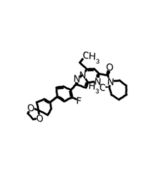 CCc1cc(C(=O)N2CCCCC[C@H]2C)nc2cc(-c3ccc(C4=CCC5(CC4)OCCO5)cc3F)nn12